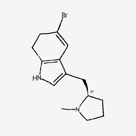 CN1CCC[C@@H]1Cc1c[nH]c2c1C=C(Br)CC2